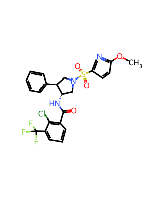 COc1ccc(S(=O)(=O)N2C[C@H](NC(=O)c3cccc(C(F)(F)F)c3Cl)[C@@H](c3ccccc3)C2)cn1